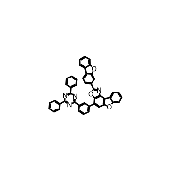 c1ccc(-c2nc(-c3ccccc3)nc(-c3cccc(-c4cc5oc6ccccc6c5c5nc(-c6ccc7c(c6)oc6ccccc67)oc45)c3)n2)cc1